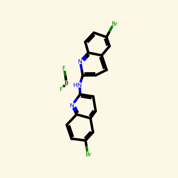 Brc1ccc2nc(Nc3ccc4cc(Br)ccc4n3)ccc2c1.F[B]F